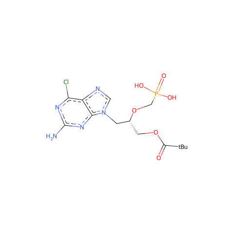 CC(C)(C)C(=O)OC[C@H](Cn1cnc2c(Cl)nc(N)nc21)OCP(=O)(O)O